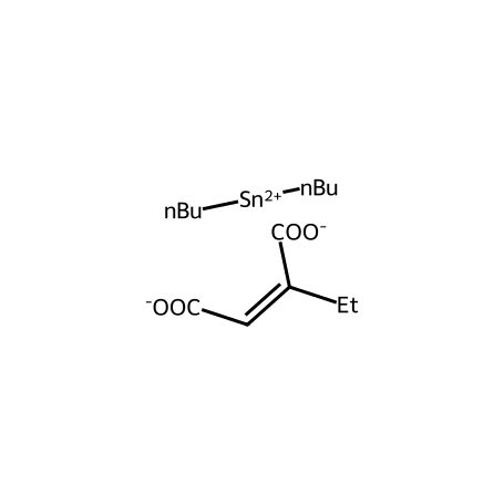 CCC(=CC(=O)[O-])C(=O)[O-].CCC[CH2][Sn+2][CH2]CCC